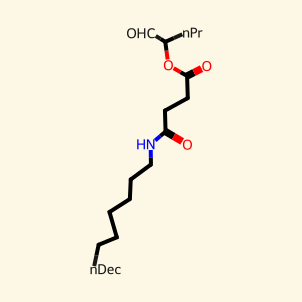 CCCCCCCCCCCCCCCCNC(=O)CCC(=O)OC(C=O)CCC